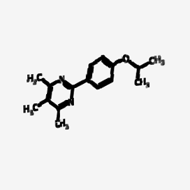 Cc1nc(-c2ccc(OC(C)C)cc2)nc(C)c1C